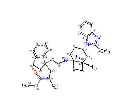 Cc1nc2ccccc2n1[C@@H]1C[C@@H]2CCC23[C@H](C1)N3CCC1(CN(C)C(=O)OC(C)(C)C)CCc2ccccc21